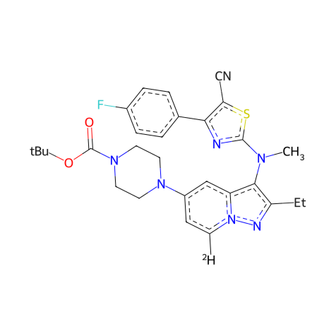 [2H]c1cc(N2CCN(C(=O)OC(C)(C)C)CC2)cc2c(N(C)c3nc(-c4ccc(F)cc4)c(C#N)s3)c(CC)nn12